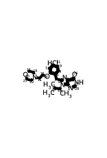 CC(C)[C@@H](C)n1c(Cc2ccccc2OCCN2CCOCC2)nc2c(=O)[nH]cnc21.Cl